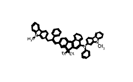 CCC1(CC)c2cc(/C=C(/Cc3ccc4c5ccccc5n(C)c4c3)c3ccccc3)ccc2-c2c1cc(N(c1ccccc1)c1ccc3c4ccccc4n(C)c3c1)c1ccccc21